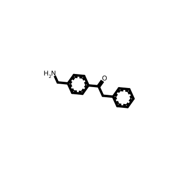 NCc1ccc(C(=O)Cc2ccccc2)cc1